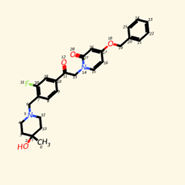 CC1(O)CCN(Cc2ccc(C(=O)Cn3ccc(OCc4ccccc4)cc3=O)cc2F)CC1